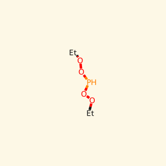 CCOOPOOCC